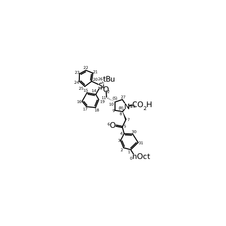 CCCCCCCCc1ccc(C(=O)C[C@H]2C[C@H](CO[Si](c3ccccc3)(c3ccccc3)C(C)(C)C)CN2C(=O)O)cc1